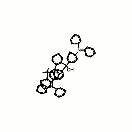 Cc1cc(N(c2ccccc2)c2ccccc2)ccc1-c1ccccc1C(O)(c1ccc(N(c2ccccc2)c2ccccc2)cc1)c1ccc2c(c1)C(C)(C)c1ccccc1-2